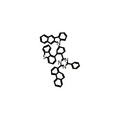 c1ccc(-c2nc(-c3ccc(-n4c5ccccc5c5cc6ccccc6cc54)cc3-c3cccc4sc5ccccc5c34)nc(-c3cccc4c3ccc3ccccc34)n2)cc1